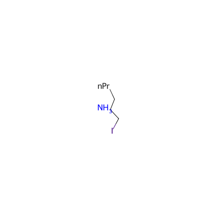 CCCCCCI.N